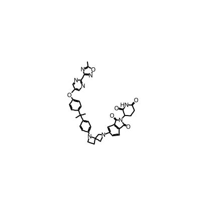 Cc1nc(-c2ncc(Oc3ccc(C(C)(C)c4ccc(N5CCC56CN(c5ccc7c(c5)C(=O)N(C5CCC(=O)NC5=O)C7=O)C6)cc4)cc3)cn2)no1